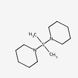 CS(C)(N1CCCCC1)N1CCCCC1